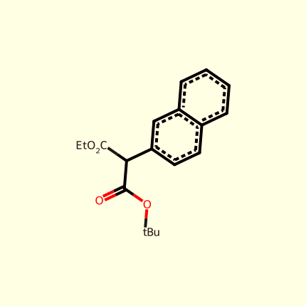 CCOC(=O)C(C(=O)OC(C)(C)C)c1ccc2ccccc2c1